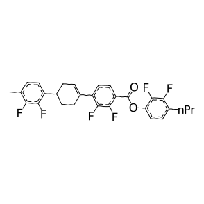 CCCc1ccc(OC(=O)c2ccc(C3=CCC(c4ccc(C)c(F)c4F)CC3)c(F)c2F)c(F)c1F